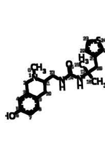 CN1Cc2cc(O)ccc2CC1CNC(=O)NC(C)(C)Cc1ccsc1